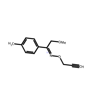 C#CCO/N=C(\COC)c1ccc(C)cc1